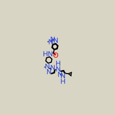 CN(c1nccc(Nc2cc(C3CC3)[nH]n2)n1)C1CCC(NC(=O)c2ccc3nnn(C)c3c2)CC1